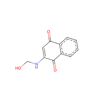 O=C1C=C(NCO)C(=O)c2ccccc21